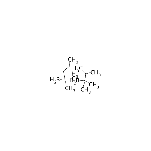 BC(C)(C)C(C)C.BC(C)(C)CCC